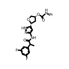 CC(C)NC(=O)O[C@H]1CO[C@@H](c2cc(NC(=O)C(C)c3cc(F)cc(F)c3)n[nH]2)C1